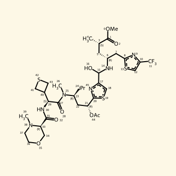 COC(=O)[C@@H](C)C[C@H](Cc1nc(C(F)(F)F)cs1)NC(O)c1csc([C@@H](C[C@H](C(C)C)N(C)C(=O)[C@@H](NC(=O)[C@H]2COCCN2C)C2CSC2)OC(C)=O)n1